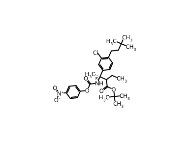 CCC(C(=O)OC(C)(C)C)[C@@](C)(NC(=O)Oc1ccc([N+](=O)[O-])cc1)c1ccc(CCC(C)(C)C)c(Cl)c1